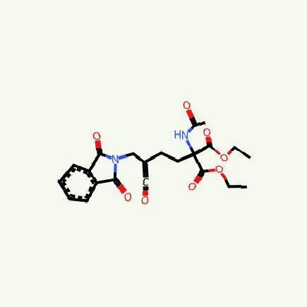 CCOC(=O)C(CCC(=C=O)CN1C(=O)c2ccccc2C1=O)(NC(C)=O)C(=O)OCC